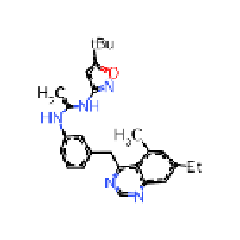 C=C(Nc1cccc(Cc2ncnc3cc(CC)cc(C)c23)c1)Nc1cc(C(C)(C)C)on1